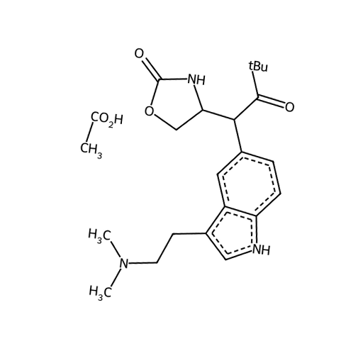 CC(=O)O.CN(C)CCc1c[nH]c2ccc(C(C(=O)C(C)(C)C)C3COC(=O)N3)cc12